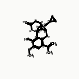 C=C(C)c1cc(OC)c(O)c2c1CC1C3CCC(=O)C[C@@]23CCN1C1CC1